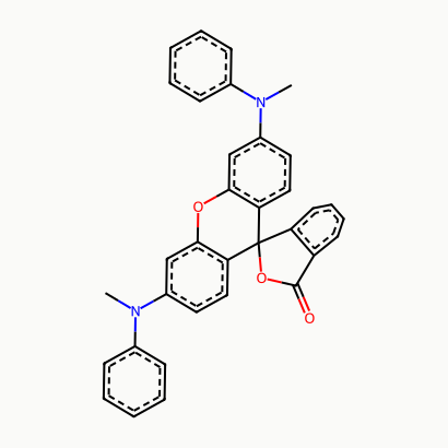 CN(c1ccccc1)c1ccc2c(c1)Oc1cc(N(C)c3ccccc3)ccc1C21OC(=O)c2ccccc21